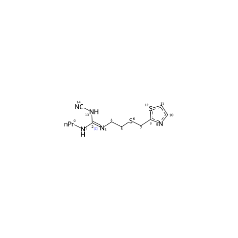 CCCN/C(=N/CCSCc1nccs1)NC#N